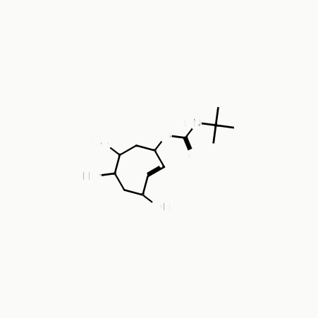 CC(C)(C)NC(=O)OC1/C=C/C(O)CC(O)C(O)C1